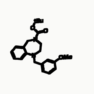 COc1cccc(CN2CCN(C(=O)OC(C)(C)C)Cc3ccccc32)c1